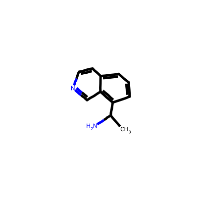 CC(N)c1cccc2ccncc12